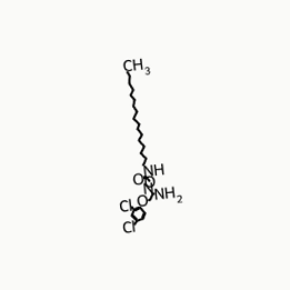 CCCCCCCCCCCCCCCCCCNC(=O)ON=C(N)COc1ccc(Cl)cc1Cl